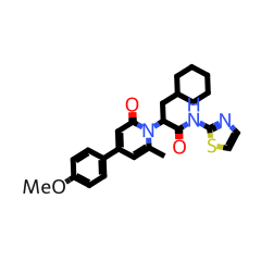 COc1ccc(-c2cc(C)n(C(CC3CCCCC3)C(=O)Nc3nccs3)c(=O)c2)cc1